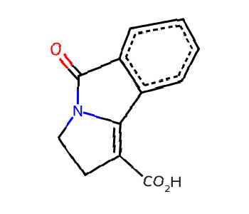 O=C(O)C1=C2c3ccccc3C(=O)N2CC1